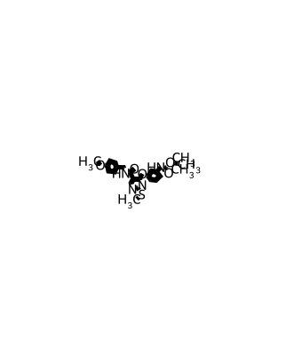 COc1ccc(CNC(=O)c2cnc(SC)nc2Oc2cccc(NC(=O)OC(C)(C)C)c2)cc1